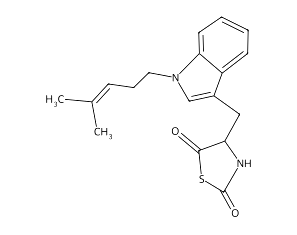 CC(C)=CCCn1cc(CC2NC(=O)SC2=O)c2ccccc21